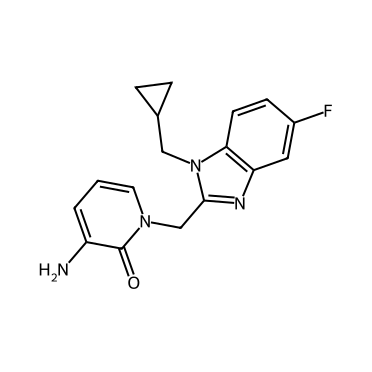 Nc1cccn(Cc2nc3cc(F)ccc3n2CC2CC2)c1=O